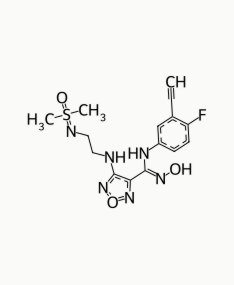 C#Cc1cc(N/C(=N\O)c2nonc2NCCN=S(C)(C)=O)ccc1F